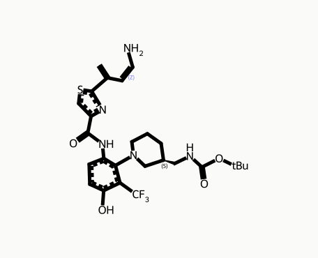 C=C(/C=C\N)c1nc(C(=O)Nc2ccc(O)c(C(F)(F)F)c2N2CCC[C@@H](CNC(=O)OC(C)(C)C)C2)cs1